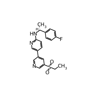 CCS(=O)(=O)c1cncc(-c2ccc(N[C@H](C)c3ccc(F)cc3)nc2)c1